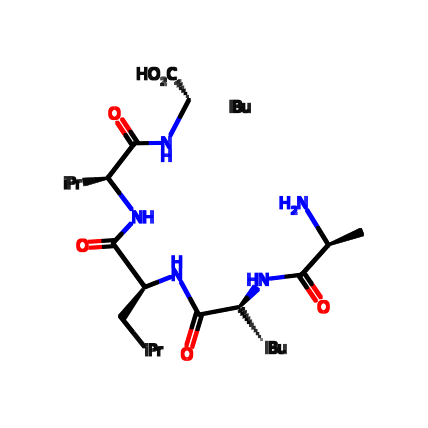 CC[C@H](C)[C@H](NC(=O)[C@@H](NC(=O)[C@H](CC(C)C)NC(=O)[C@@H](NC(=O)[C@H](C)N)[C@@H](C)CC)C(C)C)C(=O)O